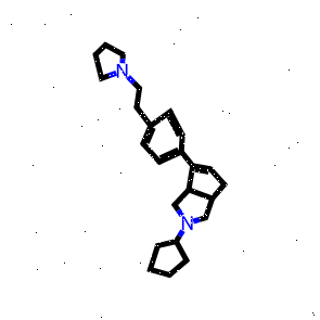 C1=C(c2ccc(CCN3CCCC3)cc2)C2CN(C3CCCC3)CC2C1